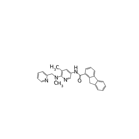 Cc1cc(NC(=O)c2cccc3c2Cc2ccccc2-3)cnc1N(C)Cc1ccccn1